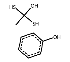 CC(O)(S)S.Oc1ccccc1